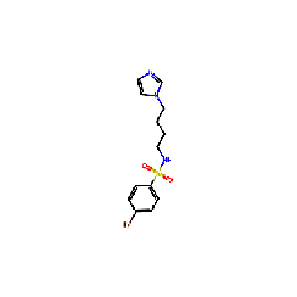 O=S(=O)(NCCCCn1ccnc1)c1ccc(Br)cc1